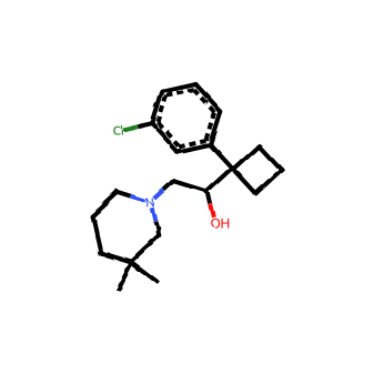 CC1(C)CCCN(CC(O)C2(c3cccc(Cl)c3)CCC2)C1